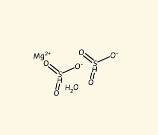 O.O=[SH](=O)[O-].O=[SH](=O)[O-].[Mg+2]